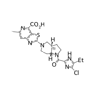 CCc1[nH]c(C(=O)N2CC[C@H]3CN(c4nc5cc(C)nc(C(=O)O)c5s4)CC[C@H]32)nc1Cl